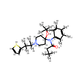 [2H]c1c([2H])c([2H])c(N(C(=O)CC([2H])([2H])[2H])C2(OC([2H])([2H])[2H])CCN(C([2H])([2H])C([2H])([2H])c3cccs3)CC2)c([2H])c1[2H]